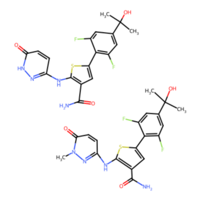 CC(C)(O)c1cc(F)c(-c2cc(C(N)=O)c(Nc3ccc(=O)[nH]n3)s2)c(F)c1.Cn1nc(Nc2sc(-c3c(F)cc(C(C)(C)O)cc3F)cc2C(N)=O)ccc1=O